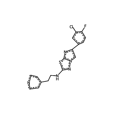 Fc1ccc(-c2cn3nc(NCCc4ccncc4)sc3n2)cc1Cl